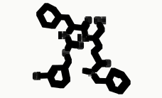 CN(Cc1ccccc1)C(=O)CCC(CO)NC(=O)C(CC1CCCCC1)NC(=O)OCc1cccc(Cl)c1